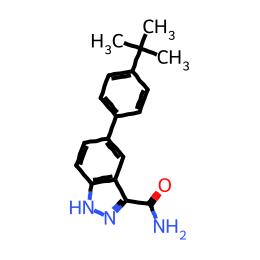 CC(C)(C)c1ccc(-c2ccc3[nH]nc(C(N)=O)c3c2)cc1